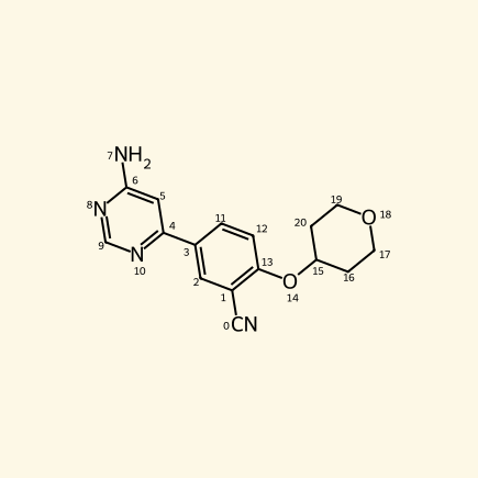 N#Cc1cc(-c2cc(N)ncn2)ccc1OC1CCOCC1